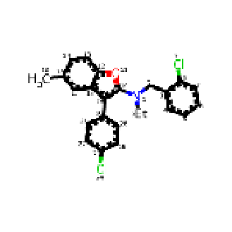 CCN(Cc1ccccc1Cl)c1oc2ccc(C)cc2c1-c1ccc(Cl)cc1